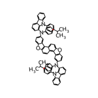 CC(C)c1ccc(-n2c3ccccc3c3cccc(N(c4ccccc4)c4ccc5oc6ccc7c(ccc8oc9ccc(N(c%10ccccc%10)c%10cccc%11c%12ccccc%12n(-c%12ccc(C(C)C)cc%12)c%10%11)cc9c87)c6c5c4)c32)cc1